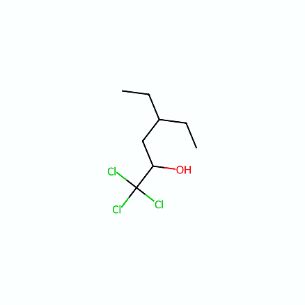 CCC(CC)CC(O)C(Cl)(Cl)Cl